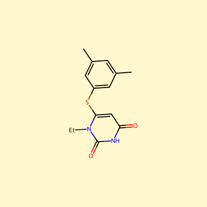 CCn1c(Sc2cc(C)cc(C)c2)cc(=O)[nH]c1=O